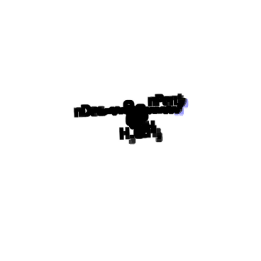 CCCCC/C=C\C/C=C\CCCCCCCCCCCC(=O)O[C@H](COC(=O)CCCCCCCCCCCCCCCCCCC)COP(=O)([O-])OCC[N+](C)(C)C